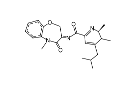 CC(C)CC1=CC(C(=O)/N=C2\COc3ccccc3N(C)C2=O)=N[C@@H](C)C1C